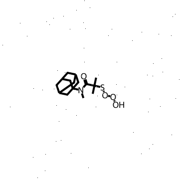 CN(C(=O)C(C)(C)SOOO)C12CC3CC(CC(C3)C1)C2